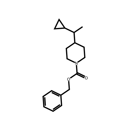 CC(C1CC1)C1CCN(C(=O)OCc2ccccc2)CC1